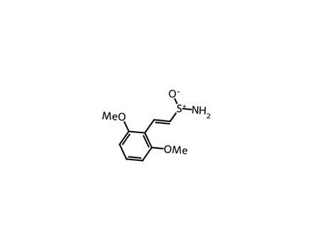 COc1cccc(OC)c1/C=C/[S+](N)[O-]